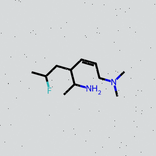 CC(F)CC(/C=C\CN(C)C)C(C)N